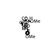 COCCN1C[C@H]2N(C(=O)CN(C)N2C(=O)NCc2ccc(OC)cc2)[C@@H](CC(=O)O)C1=O